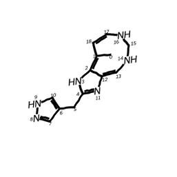 CC1=c2/[nH]c(Cc3cn[nH]c3)n/c2=C/NCN/C=C\1